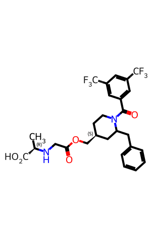 C[C@@H](NCC(=O)OC[C@H]1CCN(C(=O)c2cc(C(F)(F)F)cc(C(F)(F)F)c2)C(Cc2ccccc2)C1)C(=O)O